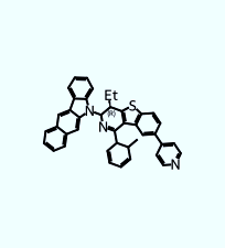 CC[C@H]1c2sc3ccc(-c4ccncc4)cc3c2C(C2C=CC=CC2C)=NC1n1c2ccccc2c2cc3ccccc3cc21